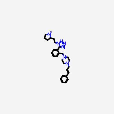 CN1CCCC1CCn1nnnc1-c1ccccc1CN1CCN(CC=Cc2ccccc2)CC1